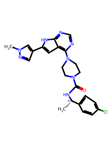 C[C@H](NC(=O)N1CCN(c2ncnc3[nH]c(-c4cnn(C)c4)cc23)CC1)c1ccc(Cl)cc1